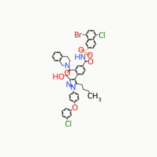 CCCCc1c(-c2ccc(C(=O)NS(=O)(=O)c3ccc4c(Cl)ccc(Br)c4c3)cc2C(=O)N2CCc3ccccc3C2)c(CO)nn1-c1ccc(Oc2cccc(Cl)c2)cc1